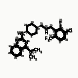 CN(C)c1nc(N[C@H]2CC[C@@H](CNCc3c(C(F)(F)F)ccc(Cl)c3F)CC2)nc2ccccc12